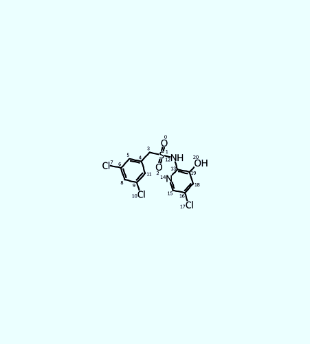 O=S(=O)(Cc1cc(Cl)cc(Cl)c1)Nc1ncc(Cl)cc1O